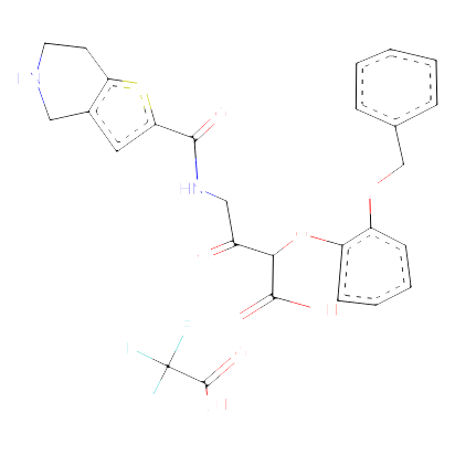 O=C(NCC(=O)C(Oc1ccccc1OCc1ccccc1)C(=O)O)c1cc2c(s1)CCNC2.O=C(O)C(F)(F)F